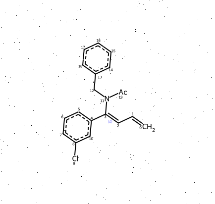 C=C/C=C(/c1cccc(Cl)c1)N(Cc1ccccc1)C(C)=O